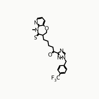 CN1C(=S)C(CCCCC(=O)c2ncn(Cc3ccc(C(F)(F)F)cc3)n2)COc2cccnc21